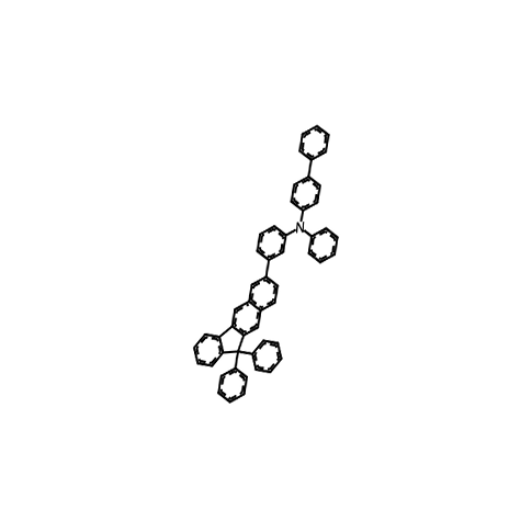 c1ccc(-c2ccc(N(c3ccccc3)c3cccc(-c4ccc5cc6c(cc5c4)-c4ccccc4C6(c4ccccc4)c4ccccc4)c3)cc2)cc1